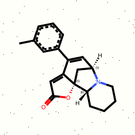 Cc1cccc(C2=C[C@@H]3C[C@@]4(OC(=O)C=C24)[C@H]2CCCCN32)c1